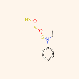 CCN(SOSOS)c1ccccc1